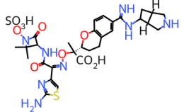 CC(O/N=C(\C(=O)N[C@@H]1C(=O)N(OS(=O)(=O)O)C1(C)C)c1csc(N)n1)(C(=O)O)[C@H]1CCc2cc(C(=N)NC3C[C@@H]4CNC[C@H]34)ccc2O1